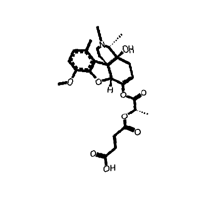 COc1ccc(C)c2c1O[C@H]1C(OC(=O)[C@H](C)OC(=O)CCC(=O)O)=CC[C@@]3(O)[C@@H](C)N(C)CC[C@]213